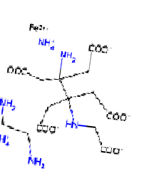 NC(CC(=O)[O-])(CC(=O)[O-])C(CC(=O)[O-])(CC(=O)[O-])NCC(=O)[O-].NCCN.[Fe+3].[NH4+].[NH4+]